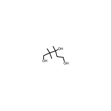 CC(C)(CO)C(C)(O)CCO